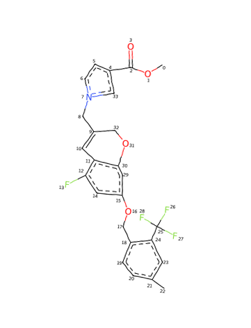 COC(=O)c1ccn(CC2=Cc3c(F)cc(OCc4ccc(C)cc4C(F)(F)F)cc3OC2)c1